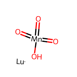 [Lu].[O]=[Mn](=[O])(=[O])[OH]